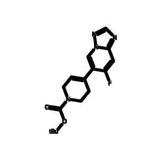 CC(C)(C)OC(=O)N1CC=C(c2cn3ncnc3cc2F)CC1